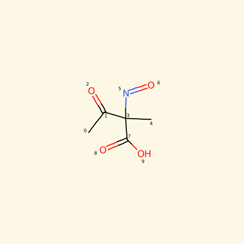 CC(=O)C(C)(N=O)C(=O)O